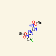 CC(C)(C)OC(=O)Nc1cncc(-c2ncc(N(C(=O)OC(C)(C)C)c3cccc(Cl)c3)cn2)c1